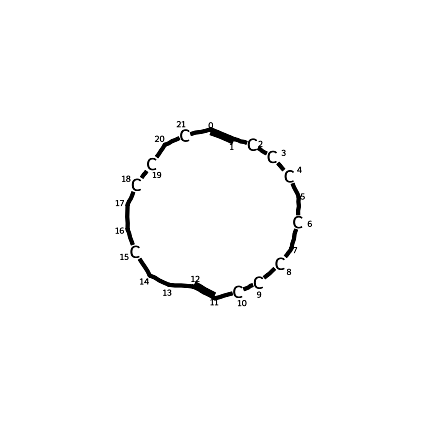 C1=C/CCCCCCCCC/C=C/CCCCCCCCC/1